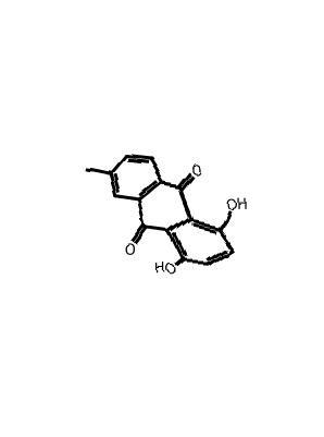 Cc1ccc2c(c1)C(=O)c1c(O)ccc(O)c1C2=O